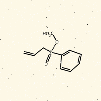 C=CCP(=O)(OC(=O)O)c1ccccc1